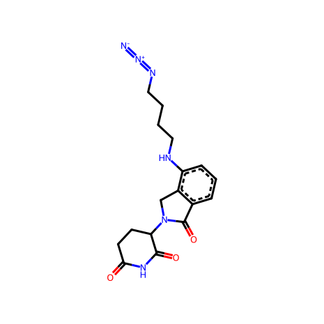 [N-]=[N+]=NCCCCNc1cccc2c1CN(C1CCC(=O)NC1=O)C2=O